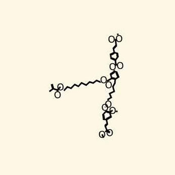 C=C(C)C(=O)OCCCCCCCCCCCOC(=O)c1cc(OC(=O)c2ccc(C=CC(=O)OC)cc2)ccc1CCCCCCOOc1ccc(C=CC(=O)OC)cc1OC